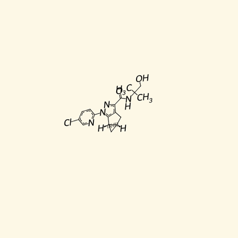 CC(C)(CO)NC(=O)c1nn(-c2ccc(Cl)cn2)c2c1C[C@@H]1C[C@H]21